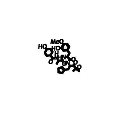 COc1ccc(CC(NC(=O)C(C)NC(=O)C2CCC(O)CC2)C(=O)NC(CC2=CCCC2)C(=O)C2(C)CO2)cc1O